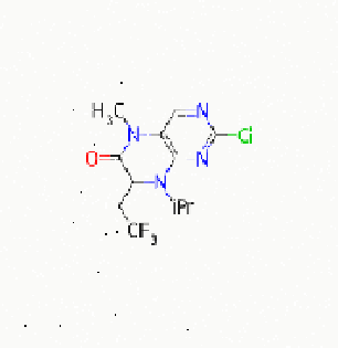 CC(C)N1c2nc(Cl)ncc2N(C)C(=O)C1CC(F)(F)F